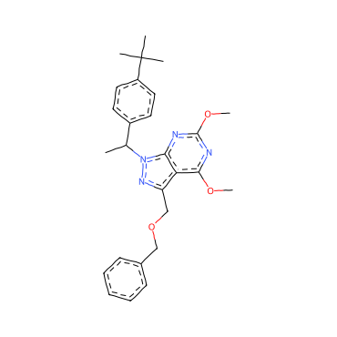 COc1nc(OC)c2c(COCc3ccccc3)nn(C(C)c3ccc(C(C)(C)C)cc3)c2n1